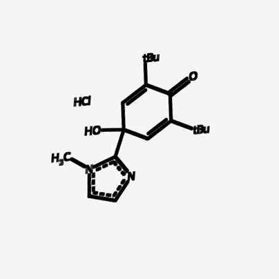 Cl.Cn1ccnc1C1(O)C=C(C(C)(C)C)C(=O)C(C(C)(C)C)=C1